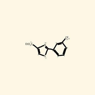 CCOC(=O)c1csc(-c2cccc(C(F)(F)F)c2)n1